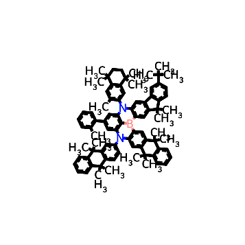 Cc1ccccc1-c1cc2c3c(c1)N(c1cc4c(cc1C)C(C)(C)CCC4(C)C)c1cc4c(cc1B3c1cc3c(cc1N2c1ccc2c(c1)C(C)(C)c1ccccc1C2(C)C)C(C)(C)c1ccccc1C3(C)C)C(C)(C)c1ccc(C(C)(C)C)cc1-4